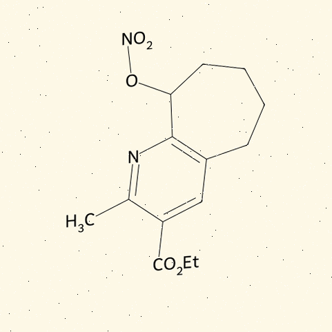 CCOC(=O)c1cc2c(nc1C)C(O[N+](=O)[O-])CCCC2